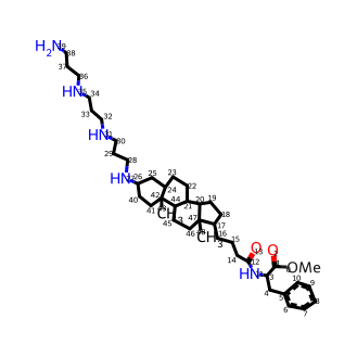 COC(=O)C(Cc1ccccc1)NC(=O)CCCC1CCC2C3CCC4CC(NCCCNCCCNCCCN)CCC4(C)C3CCC12C